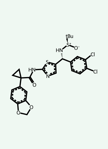 CC(C)(C)[S@@+]([O-])N[C@H](c1ccc(Cl)c(Cl)c1)c1cnc(NC(=O)C2(c3ccc4c(c3)OCO4)CC2)s1